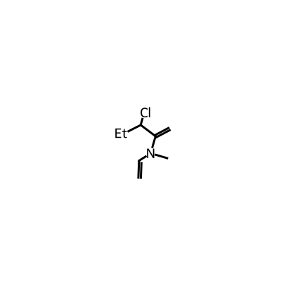 C=CN(C)C(=C)C(Cl)CC